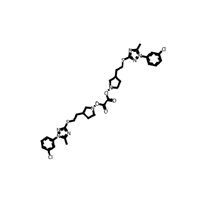 Cc1nc(SCCC2CCN(OC(=O)C(=O)ON3CCC(CCSc4nc(C)n(-c5cccc(Cl)c5)n4)C3)C2)nn1-c1cccc(Cl)c1